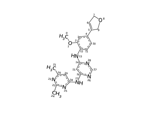 COc1cc(C2=CCOC2)ccc1Nc1cc(Nc2cc(C)nc(C)n2)ncn1